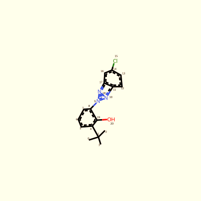 CC(C)(C)c1cccc(-n2n3c4ccc(Cl)cc4n23)c1O